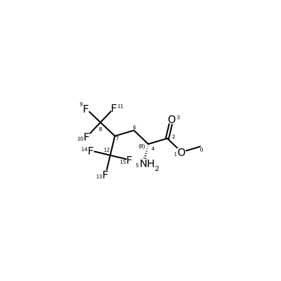 COC(=O)[C@H](N)CC(C(F)(F)F)C(F)(F)F